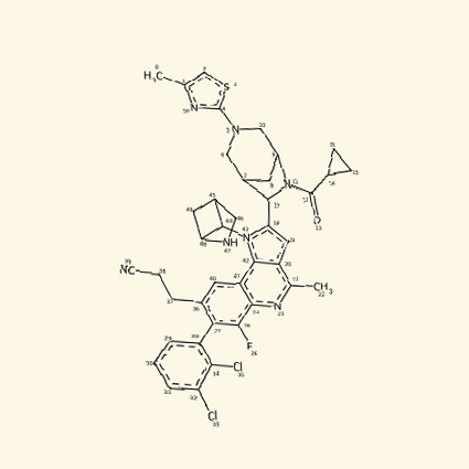 Cc1csc(N2CC3CC(C2)N(C(=O)C2CC2)C3c2cc3c(C)nc4c(F)c(-c5cccc(Cl)c5Cl)c(CCC#N)cc4c3n2C2C3CNC2C3)n1